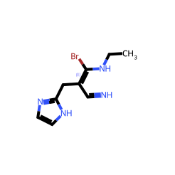 CCN/C(Br)=C(\C=N)Cc1ncc[nH]1